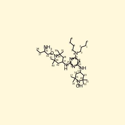 CCCCN(CCCC)c1nc(NC2CC(C)(C)N(O)C(C)(C)C2)nc(NC2CC(C)(C)N(OCC(N)CC)C(C)(C)C2)n1